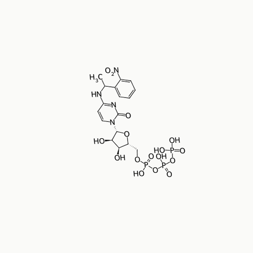 CC(Nc1ccn([C@@H]2O[C@H](COP(=O)(O)OP(=O)(O)OP(=O)(O)O)[C@@H](O)[C@H]2O)c(=O)n1)c1ccccc1[N+](=O)[O-]